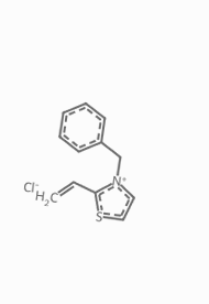 C=Cc1scc[n+]1Cc1ccccc1.[Cl-]